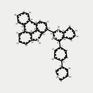 c1ccc(-c2ccc(-c3nc(-c4ccc5c6ccccc6c6cccc7sc4c5c76)nc4ccccc34)cc2)cc1